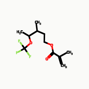 C=C(C)C(=O)OCCC(C)C(C)OC(F)(F)F